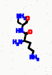 NCCC[C@@H](N)C(=O)N[C@@H](C=O)CN